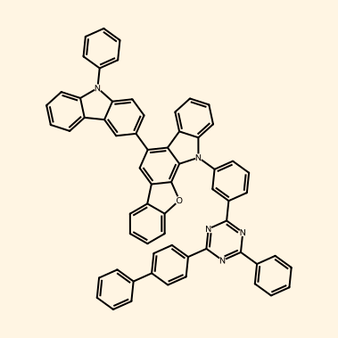 c1ccc(-c2ccc(-c3nc(-c4ccccc4)nc(-c4cccc(-n5c6ccccc6c6c(-c7ccc8c(c7)c7ccccc7n8-c7ccccc7)cc7c8ccccc8oc7c65)c4)n3)cc2)cc1